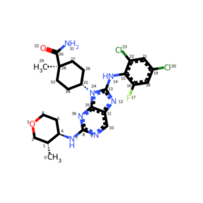 C[C@@H]1COCC[C@H]1Nc1ncc2nc(Nc3c(F)cc(Cl)cc3Cl)n([C@H]3CC[C@](C)(C(N)=O)CC3)c2n1